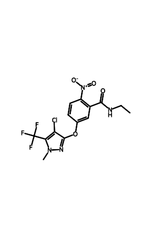 CCNC(=O)c1cc(Oc2nn(C)c(C(F)(F)F)c2Cl)ccc1[N+](=O)[O-]